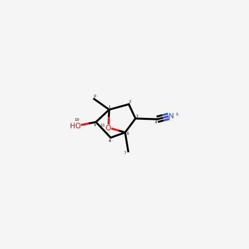 CC12CC(C#N)C(C)(CC1O)O2